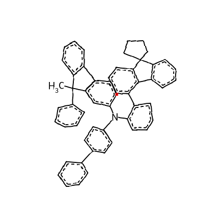 CC1(c2ccccc2)c2ccccc2-c2ccc(N(c3ccc(-c4ccccc4)cc3)c3ccccc3-c3cccc4c3-c3ccccc3C43CCCC3)cc21